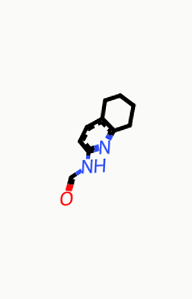 O=CNc1ccc2c(n1)CCCC2